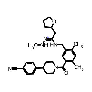 CN/N=C(/CC1CCCO1)NCc1cc(C(=O)N2CCC(c3ccc(C#N)cc3)CC2)c(C)cc1C